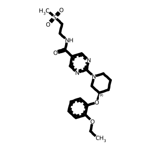 CCOc1ccccc1O[C@@H]1CCCN(c2ncc(C(=O)NCCS(C)(=O)=O)cn2)C1